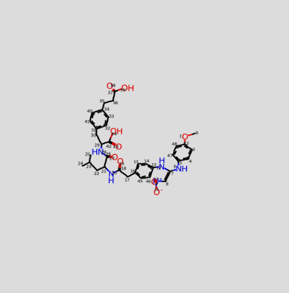 COc1ccc(N/C(=C/[N+](=O)[O-])Nc2ccc(CC(=O)NC(CC(C)C)C(=O)NC(Cc3ccc(CCC(=O)O)cc3)C(=O)O)cc2)cc1